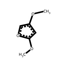 COc1coc(OC)c1